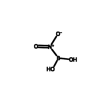 O=[N+]([O-])B(O)O